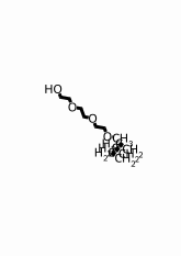 C=C.C=C.C=C.COCCOCCOCCO